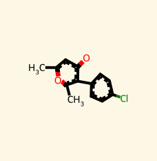 Cc1cc(=O)c(-c2ccc(Cl)cc2)c(C)o1